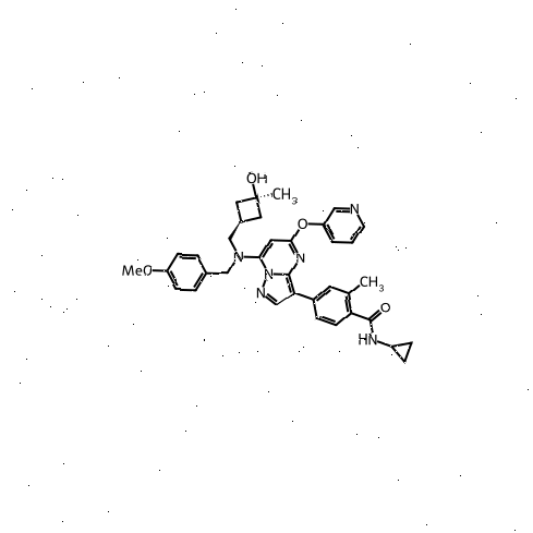 COc1ccc(CN(C[C@H]2C[C@@](C)(O)C2)c2cc(Oc3cccnc3)nc3c(-c4ccc(C(=O)NC5CC5)c(C)c4)cnn23)cc1